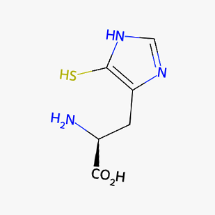 N[C@@H](Cc1nc[nH]c1S)C(=O)O